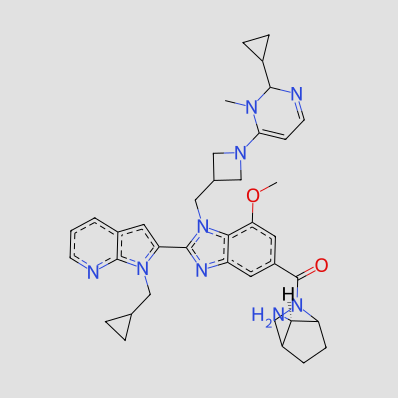 COc1cc(C(=O)N2CC3CCC2[C@@H]3N)cc2nc(-c3cc4cccnc4n3CC3CC3)n(CC3CN(C4=CC=NC(C5CC5)N4C)C3)c12